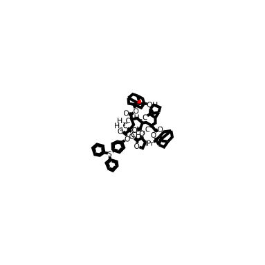 CC1C2CCC(C2)C1CC(C)(CC(CC(C)(CC(C)(C)C(=O)Oc1ccc([S+](c2ccccc2)c2ccccc2)cc1)C(=O)OC12CC3CC(CC(O)(C3)C1)C2)C(=O)OC1CCOC1=O)C(=O)OC1(C(C)C)C2CC3CC(C2)CC1C3